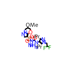 COC1COc2c(S(=O)(=O)NC(=O)Nc3c(C(C)C)nn(CC(F)F)c3C(C)C)cnn2C1.N